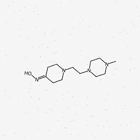 CN1CCN(CCN2CCC(=NO)CC2)CC1